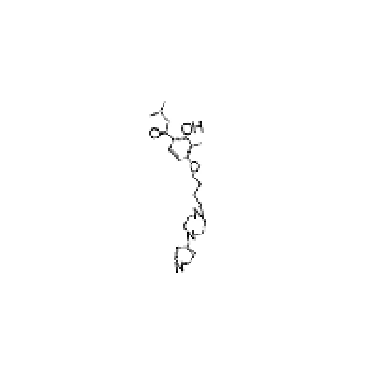 Cc1c(OCCCCN2CCN(c3ccncc3)CC2)ccc(C(=O)CC(C)C)c1O